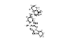 O=C(CC(C(=O)O)c1ccccc1)Nc1cc(Cc2n[nH]c(=O)c3ccccc23)ccc1CI